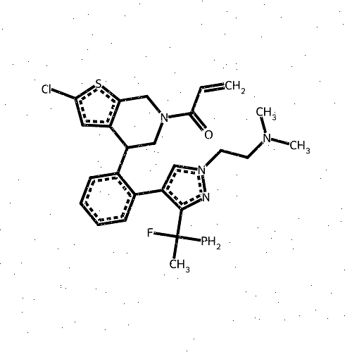 C=CC(=O)N1Cc2sc(Cl)cc2C(c2ccccc2-c2cn(CCN(C)C)nc2C(C)(F)P)C1